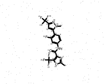 Cc1nc(C(=O)Nc2ccc(-c3cc(C(F)(F)I)nn3C)c(F)c2)c(C(F)(F)F)o1